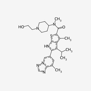 Cc1c(C(=O)N(C)C2CCN(CCO)CC2)sc2[nH]c(-c3cc(C)c4ncnn4c3)c(C(C)C)c12